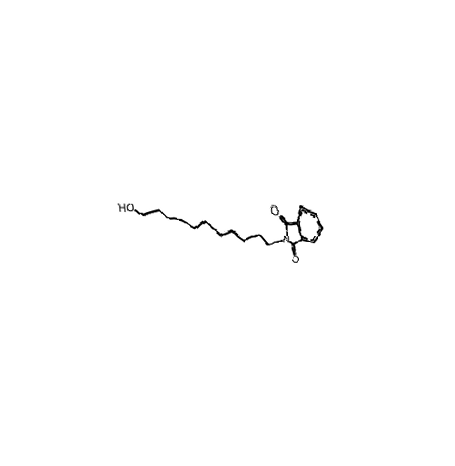 O=C1c2ccccc2C(=O)N1CCCCCCCCCCCO